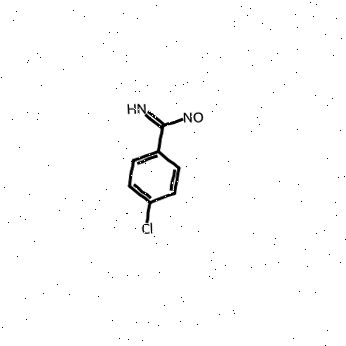 N=C(N=O)c1ccc(Cl)cc1